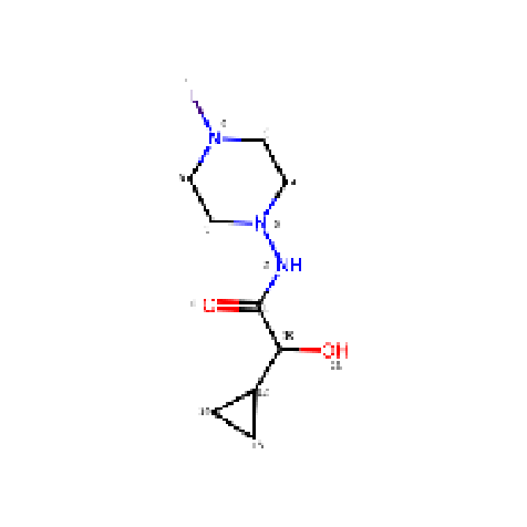 O=C(NN1CCN(I)CC1)C(O)C1CC1